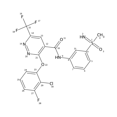 CS(=N)(=O)c1cccc(NC(=O)c2cc(C(F)(F)F)nnc2Oc2cccc(F)c2Cl)c1